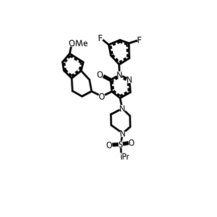 COc1ccc2c(c1)CC(Oc1c(N3CCN(S(=O)(=O)C(C)C)CC3)cnn(-c3cc(F)cc(F)c3)c1=O)CC2